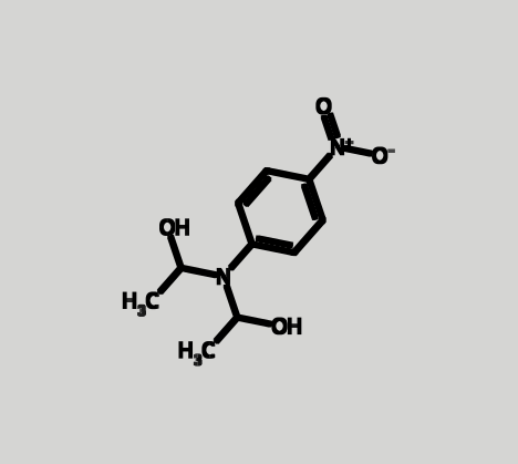 CC(O)N(c1ccc([N+](=O)[O-])cc1)C(C)O